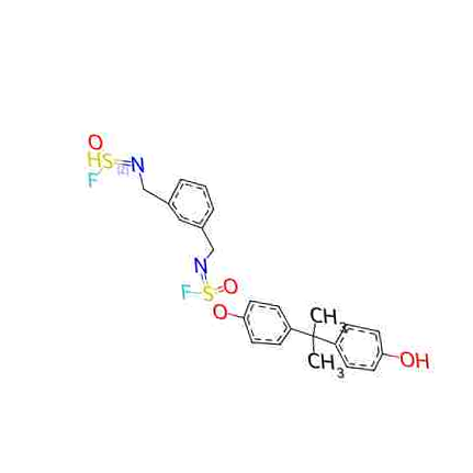 CC(C)(c1ccc(O)cc1)c1ccc(OS(=O)(F)=NCc2cccc(C/N=[SH](=O)\F)c2)cc1